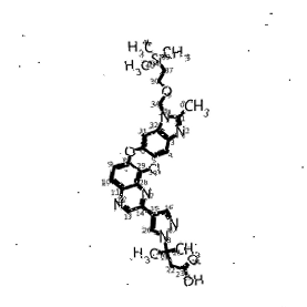 Cc1nc2ccc(Oc3ccc4ncc(-c5cnn(C(C)(C)CC(=O)O)c5)nc4c3Cl)cc2n1COCC[Si](C)(C)C